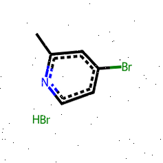 Br.Cc1cc(Br)ccn1